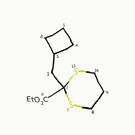 CCOC(=O)C1(CC2CCC2)SCCCS1